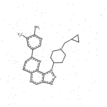 Nc1ncc(-c2ccc3ncc4nnn(C5CCN(CC6CC6)CC5)c4c3n2)cc1C(F)(F)F